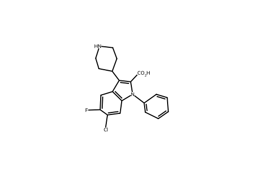 O=C(O)c1c(C2CCNCC2)c2cc(F)c(Cl)cc2n1-c1ccccc1